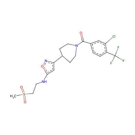 CS(=O)(=O)CCNc1cc(C2CCN(C(=O)c3ccc(C(F)(F)F)c(Cl)c3)CC2)no1